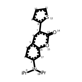 CC(C)N(c1ccc2cc(-c3cccs3)c(=O)oc2c1)C(C)C